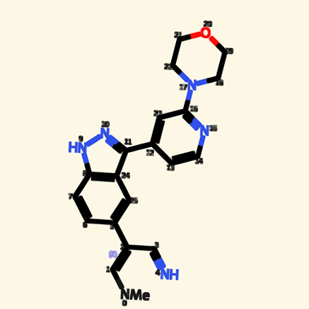 CN/C=C(\C=N)c1ccc2[nH]nc(-c3ccnc(N4CCOCC4)c3)c2c1